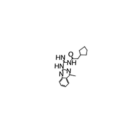 Cc1nc(NC(=N)NC(=O)CC2CCCC2)nc2ccccc12